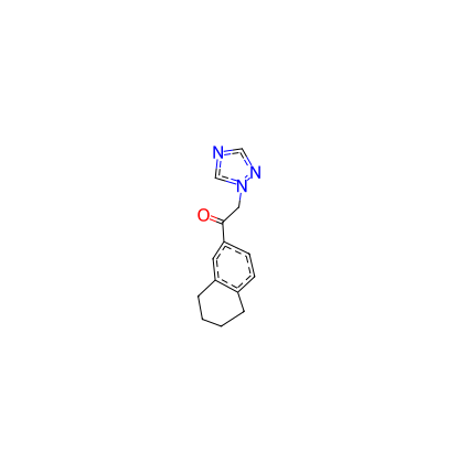 O=C(Cn1cncn1)c1ccc2c(c1)CCCC2